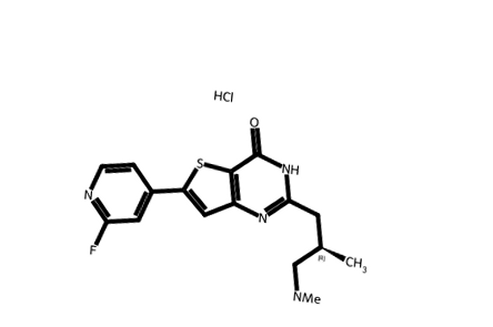 CNC[C@H](C)Cc1nc2cc(-c3ccnc(F)c3)sc2c(=O)[nH]1.Cl